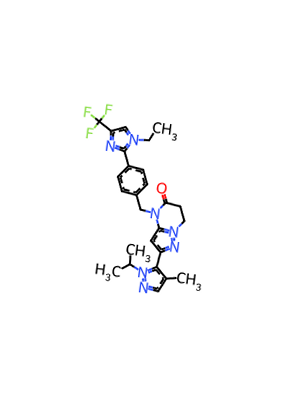 CCn1cc(C(F)(F)F)nc1-c1ccc(CN2C(=O)CCn3nc(-c4c(C)cnn4C(C)C)cc32)cc1